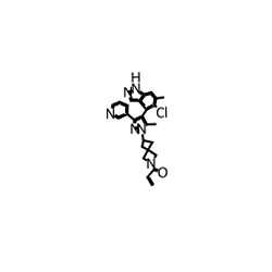 C=CC(=O)N1CC2(CC(n3nc(-c4cccnc4)c(-c4c(Cl)c(C)cc5[nH]ncc45)c3C)C2)C1